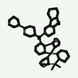 CC1(C)c2ccccc2C2(c3ccccc3-c3c(N(c4ccc(-c5ccccc5)cc4)c4ccc5sc6ccccc6c5c4)cccc32)c2ccccc21